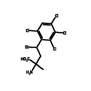 CCC(CC(C)(N)C(=O)O)c1c(Cl)cc(Cl)c(Cl)c1Cl